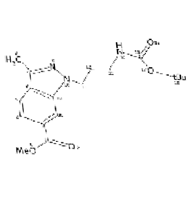 COC(=O)c1ccc2c(C)nn(CCCNC(=O)OC(C)(C)C)c2c1